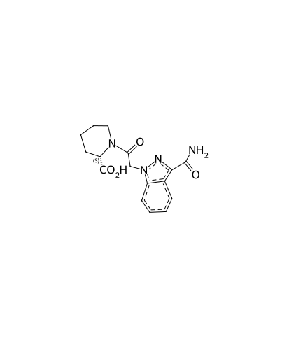 NC(=O)c1nn(CC(=O)N2CCCC[C@H]2C(=O)O)c2ccccc12